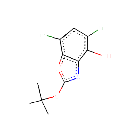 CC(C)(C)Oc1nc2c(O)c(Br)cc(Br)c2o1